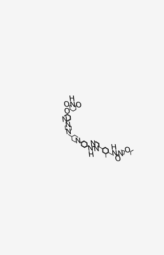 Cc1cc(-c2ccnc(Nc3ccc(N4CCC(CN5CCN(c6ccc(OC7CCC(=O)NC7=O)cn6)CC5)CC4)cc3)n2)ccc1CNC(=O)N1CC(OC(C)C)C1